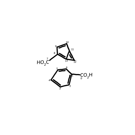 O=C(O)c1c[c]ccc1.O=C(O)c1ccc2[c]c1-2